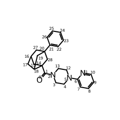 O=C(N1CCN(c2ccccn2)CC1)C12CC3CC1CC(c1ccccc1)(C3)C2